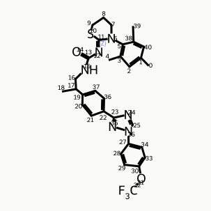 Cc1cc(C)c(N2CCCS/C2=N\C(=O)NCC(C)c2ccc(-c3ncn(-c4ccc(OC(F)(F)F)cc4)n3)cc2)c(C)c1